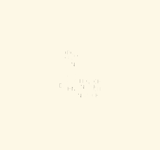 CCc1cc2c(cc1Nc1ncc(C(F)(F)F)[c]([Sn]([CH3])([CH3])[CH3])n1)CCN(C(=O)OC(C)(C)C)C2